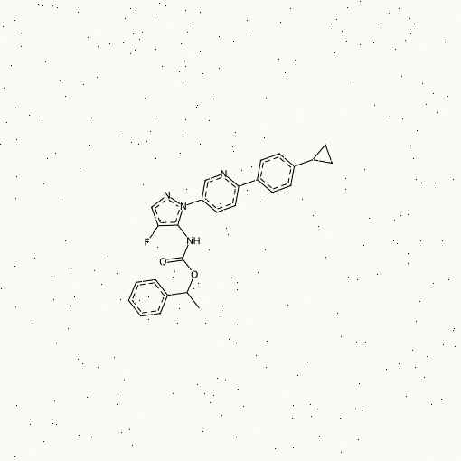 CC(OC(=O)Nc1c(F)cnn1-c1ccc(-c2ccc(C3CC3)cc2)nc1)c1ccccc1